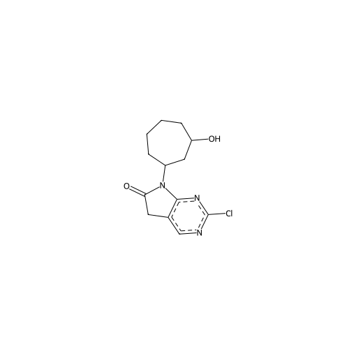 O=C1Cc2cnc(Cl)nc2N1C1CCCCC(O)C1